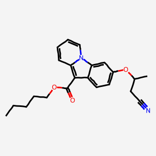 CCCCCOC(=O)c1c2ccc(OC(C)CC#N)cc2n2ccccc12